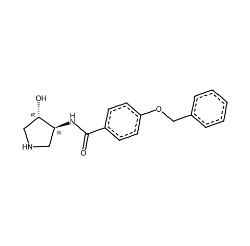 O=C(N[C@H]1CNC[C@@H]1O)c1ccc(OCc2ccccc2)cc1